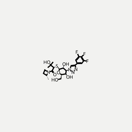 C[C@@H]1CCN1C(=O)[C@@H](S[C@@H]1O[C@H](CO)[C@H](O)[C@H](n2cc(-c3cc(F)c(F)c(F)c3)nn2)[C@H]1O)C(C)(C)O